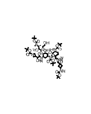 C[C@@H]([C@@H](O)[C@H](OCCO)O[C@@H]1[C@@H](O)[C@H](O[C@H]2OC(CNCC3(O)CC(NC(=O)OC(C)(C)C)C3)=CC[C@H]2NC(=O)OC(C)(C)C)[C@@H](NC(=O)OC(C)(C)C)C[C@H]1NC(=O)C(O)C1CN(C(=O)OC(C)(C)C)C1)N(C)C(=O)OC(C)(C)C